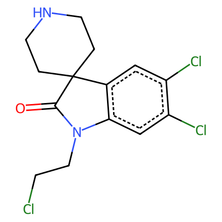 O=C1N(CCCl)c2cc(Cl)c(Cl)cc2C12CCNCC2